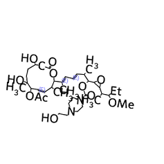 CCC(OC)C(C)C1OC1C(OC(=O)N1CCN(CCO)CC1)C(C)/C=C/C=C(\C)C1OC(=O)CC(O)CCC(C)(O)C(OC(C)=O)/C=C/C1C